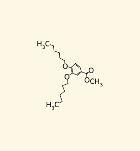 CCCCCCOc1ccc(C(=O)OC)cc1OCCCCCC